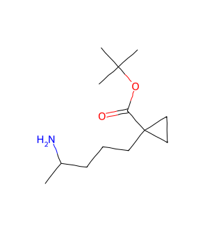 CC(N)CCCC1(C(=O)OC(C)(C)C)CC1